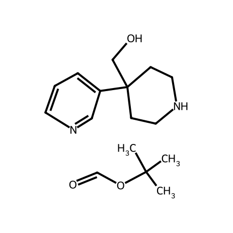 CC(C)(C)OC=O.OCC1(c2cccnc2)CCNCC1